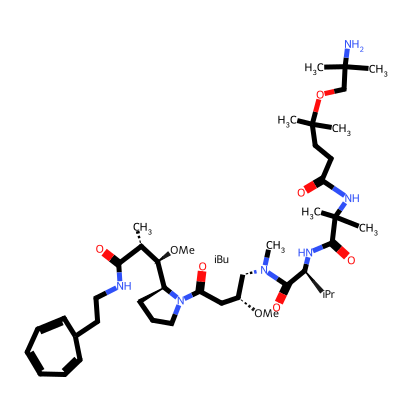 CC[C@H](C)[C@@H]([C@@H](CC(=O)N1CCC[C@H]1[C@H](OC)[C@@H](C)C(=O)NCCC1C=CC=CC=C1)OC)N(C)C(=O)[C@@H](NC(=O)C(C)(C)NC(=O)CCC(C)(C)OCC(C)(C)N)C(C)C